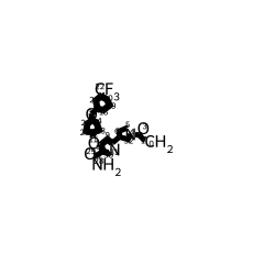 C=CC(=O)N1CCC(c2cc(Oc3ccc(Oc4cccc(C(F)(F)F)c4)cc3)c(C(N)=O)cn2)C1